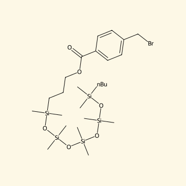 CCCC[Si](C)(C)O[Si](C)(C)O[Si](C)(C)O[Si](C)(C)O[Si](C)(C)CCCOC(=O)c1ccc(CBr)cc1